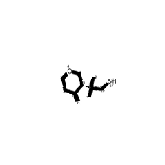 C=C1CCOC[C@@H]1C(C)(C)CS